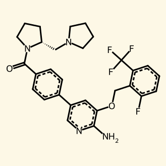 Nc1ncc(-c2ccc(C(=O)N3CCC[C@@H]3CN3CCCC3)cc2)cc1OCc1c(F)cccc1C(F)(F)F